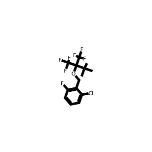 CC(C)(C)C(OCc1c(F)cccc1Cl)(C(F)(F)F)C(F)(F)F